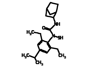 CCc1cc(C(C)C)cc(CC)c1N(S)C(=O)NC1CC2CCC1C2